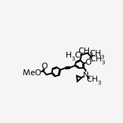 COC(=O)Cc1ccc(C#Cc2cc(CN(C)C3CC3)c3c(c2)C(C)(C)CC(C)(C)O3)cc1